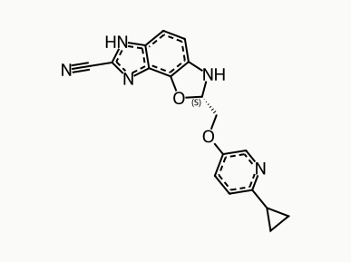 N#Cc1nc2c3c(ccc2[nH]1)N[C@H](COc1ccc(C2CC2)nc1)O3